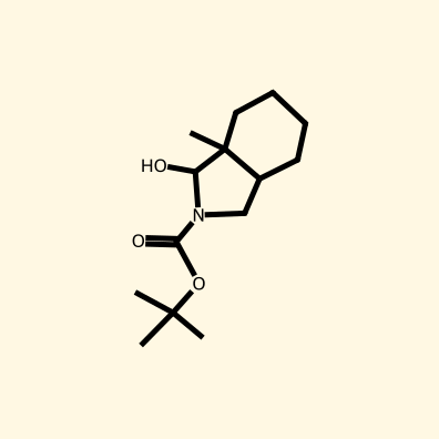 CC(C)(C)OC(=O)N1CC2CCCCC2(C)C1O